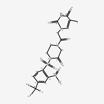 Cc1cn(CC(=O)N2CCN(S(=O)(=O)c3ccc(C(F)(F)F)cc3[N+](=O)[O-])C(=O)C2)c(=O)[nH]c1=O